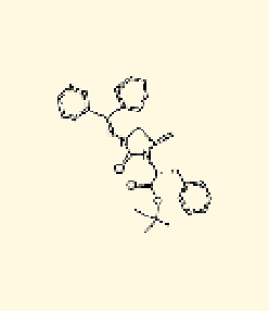 C=C1CN(N=C(c2ccccc2)c2ccccc2)C(=O)N1[C@H](Cc1ccccc1)C(=O)OC(C)(C)C